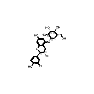 OC[C@@H]1O[C@@H](Oc2cc(O)cc3c2C[C@H](O)[C@@H](c2ccc(O)c(O)c2)O3)[C@@H](O)[C@H](O)[C@H]1O